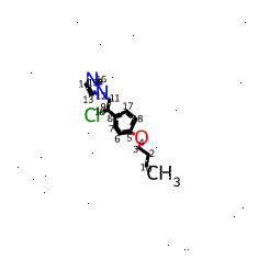 CCCCOc1ccc(C(Cl)Cn2ccnc2)cc1